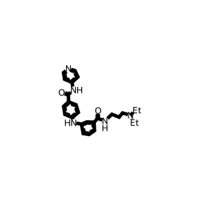 CCN(CC)CCCNC(=O)c1cccc(Nc2ccc(C(=O)Nc3ccncc3)cc2)c1